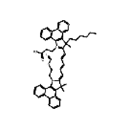 CCCCCCC1(C)C(/C=C/C=C/C=C2\N(CCOC=O)c3c(c4ccccc4c4ccccc34)C2(C)C)=[N+](CCC(=O)O)c2c1c1ccccc1c1ccccc21